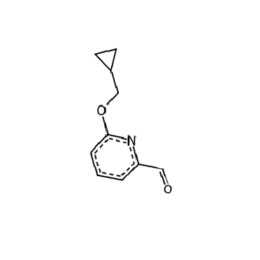 O=Cc1cccc(OCC2CC2)n1